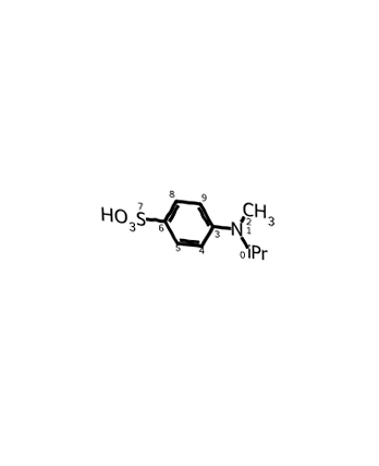 CC(C)N(C)c1ccc(S(=O)(=O)O)cc1